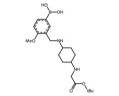 COc1ccc(B(O)O)cc1CNC1CCC(NCC(=O)OC(C)(C)C)CC1